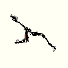 C=CC(=O)OCCCCCCCCCCCOc1ccc(OCc2ccc(C(=O)Oc3ccc4c5ccc(OCCCCCCCCCCCOC(=O)C=C)cc5c5nc6cc(OCCOCCOC(=O)C=C)ccc6nc5c4c3)cc2)cc1